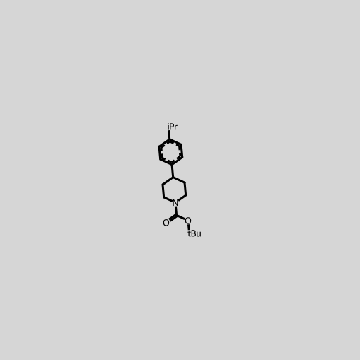 CC(C)c1ccc(C2CCN(C(=O)OC(C)(C)C)CC2)cc1